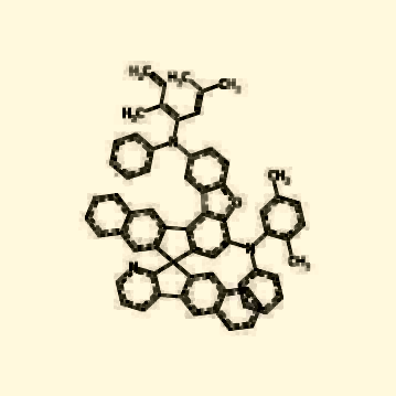 C=C/C(C)=C(\C=C(C)C)N(c1ccccc1)c1ccc2oc3c(N(c4ccccc4)c4cc(C)ccc4C)cc4c(c3c2c1)-c1cc2ccccc2cc1C41c2cc3ccccc3cc2-c2cccnc21